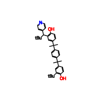 CC(C)(C)c1cc(C(C)(C)c2ccc(C(C)(C)c3ccc(O)c(C(c4ccncc4)C(C)(C)C)c3)cc2)ccc1O